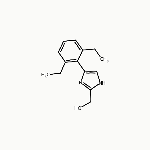 CCc1cccc(CC)c1-c1c[nH]c(CO)n1